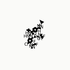 C[C@H](NC(=O)OC[C@H](c1ccc(Cl)c(-n2ncnc2C(F)F)c1)N1C(=N)N[C@](CC(C)(C)C)(c2ccc(-c3cnn(C4CC4)n3)cc2)C1=O)C(F)(F)F